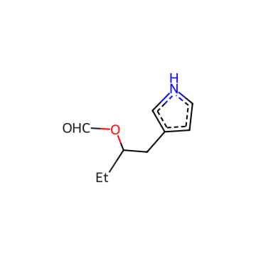 CCC(Cc1cc[nH]c1)OC=O